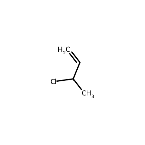 C=C[C](C)Cl